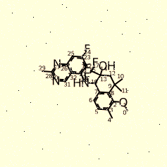 COc1c(C)ccc2c1C(C)(C)CC(O)(C(F)(F)F)C2Nc1cc(F)cc2nc(C)ncc12